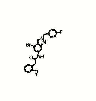 COc1ccccc1CC(=O)Nc1cc(Br)c2cn(Cc3ccc(F)cc3)nc2c1